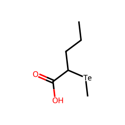 CCCC([Te]C)C(=O)O